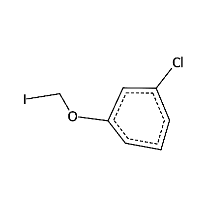 Clc1cccc(OCI)c1